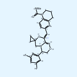 CNC(=O)N1CCCc2nc(/C=C3\OC4(CC4)CN4C3=NOCC4c3cc(F)cc(F)c3)ccc21